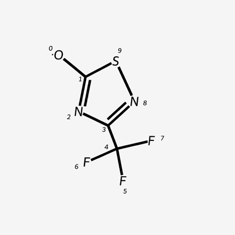 [O]c1nc(C(F)(F)F)ns1